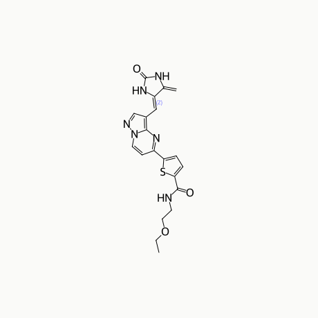 C=c1[nH]c(=O)[nH]/c1=C\c1cnn2ccc(-c3ccc(C(=O)NCCOCC)s3)nc12